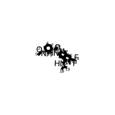 CC(=O)N[C@@H]1CCC[C@H](C(=O)Nc2cc3c(NC(C)C)nc(C(F)F)cc3cn2)C1